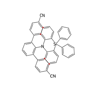 N#Cc1ccc(-c2cccc(-c3ccc(C#N)cc3)c2N2c3ccccc3[Si](c3ccccc3)(c3ccccc3)c3ccccc32)cc1